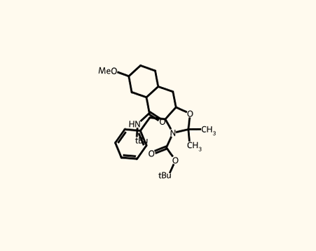 COC1CCC(CC2OC(C)(C)N(C(=O)OC(C)(C)C)C2Cc2ccccc2)C(C(=O)NC(C)(C)C)C1